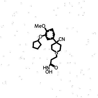 COc1ccc(C2(C#N)CCN(CCC(=O)NO)CC2)cc1OC1CCCC1